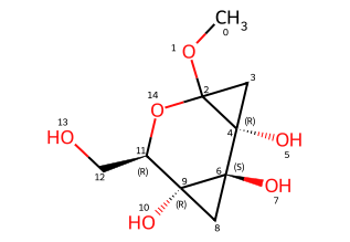 COC12C[C@@]1(O)[C@]1(O)C[C@@]1(O)[C@@H](CO)O2